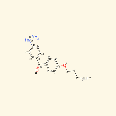 C#CCCCOc1ccc(C(=O)c2ccc(NN)cc2)cc1